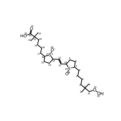 CC(C)(CCCCC1CCC(C=CC2CCC(CCCCC(C)(C)C(=O)O)[S+]2[O-])[S+]1[O-])COO